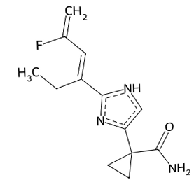 C=C(F)/C=C(\CC)c1nc(C2(C(N)=O)CC2)c[nH]1